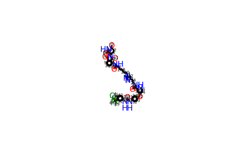 O=C1CCC(N2C(=O)c3cccc(NC(=O)CCCCCn4cc(CCNC(=O)c5cc(Oc6ccc(NC(=O)Nc7ccc(Cl)c(C(F)(F)F)c7)cc6)ccn5)nn4)c3C2=O)C(=O)N1